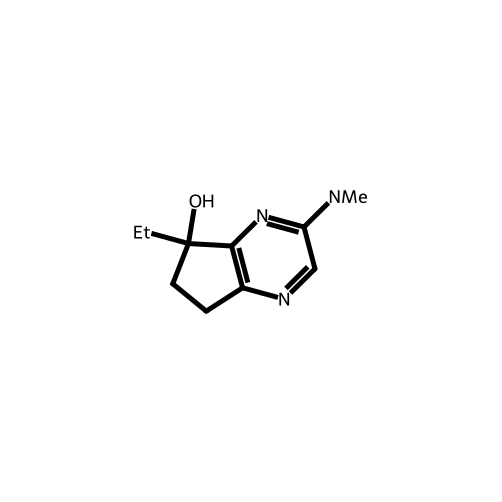 CCC1(O)CCc2ncc(NC)nc21